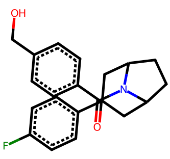 O=C(c1ccc(CO)cc1)N1C2CCC1CC(c1ccc(F)cc1)C2